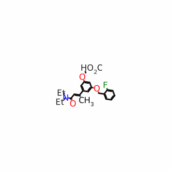 CCN(CC)C(=O)/C=C(\C)c1cc(OCC(=O)O)cc(OCc2ccccc2F)c1